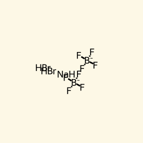 Br.Br.F[B-](F)(F)F.F[B-](F)(F)F.[NaH]